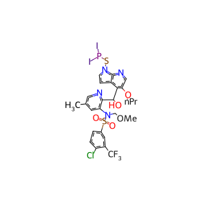 CCCOc1cnc2c(ccn2SP(I)I)c1C(O)c1ncc(C)cc1N(COC)S(=O)(=O)c1ccc(Cl)c(C(F)(F)F)c1